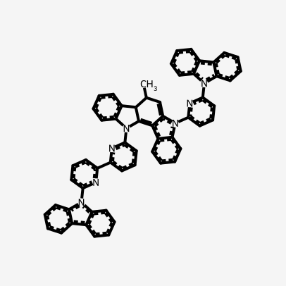 CC1C=c2c(c3ccccc3n2-c2cccc(-n3c4ccccc4c4ccccc43)n2)=C2C1c1ccccc1N2c1cccc(-c2cccc(-n3c4ccccc4c4ccccc43)n2)n1